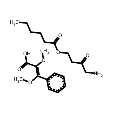 CCCCCC(=O)OCCC(=O)CN.COC(C(=O)O)=C(OC)c1ccccc1